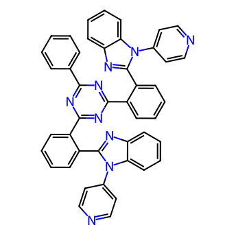 c1ccc(-c2nc(-c3ccccc3-c3nc4ccccc4n3-c3ccncc3)nc(-c3ccccc3-c3nc4ccccc4n3-c3ccncc3)n2)cc1